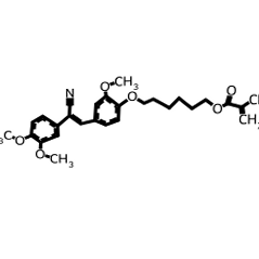 C=C(C)C(=O)OCCCCCCOc1ccc(C=C(C#N)c2ccc(OC)c(OC)c2)cc1OC